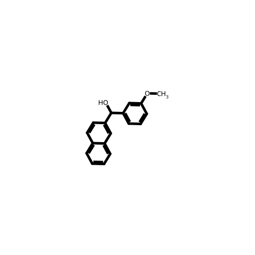 COc1cccc(C(O)c2ccc3ccccc3c2)c1